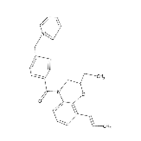 C/C=C/c1cccc2c1OC(CC)CN2C(=O)c1ccc(C[n+]2ccccc2)cc1